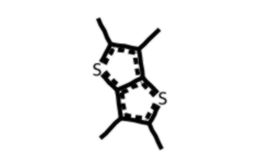 Cc1sc2c(C)c(C)sc2c1C